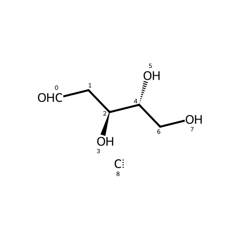 O=CC[C@H](O)[C@H](O)CO.[C]